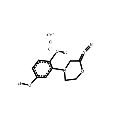 CCOc1ccc(OCC)c(N2CCOC(=[N+]=[N-])C2)c1.[Cl-].[Cl-].[Zn+2]